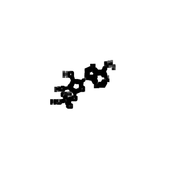 Nc1ncnc2c1ncn2[C@@H]1O[C@H](OP(=O)(O)O)[C@@H](O)[C@H]1O